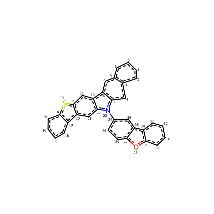 c1ccc2cc3c(cc2c1)c1cc2sc4ccccc4c2cc1n3-c1ccc2oc3ccccc3c2c1